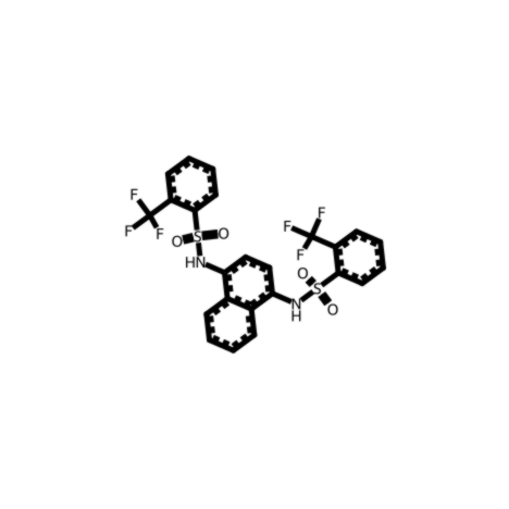 O=S(=O)(Nc1ccc(NS(=O)(=O)c2ccccc2C(F)(F)F)c2ccccc12)c1ccccc1C(F)(F)F